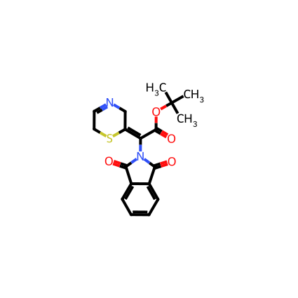 CC(C)(C)OC(=O)C(=C1CN=CCS1)N1C(=O)c2ccccc2C1=O